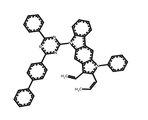 C=Cc1c(/C=C\C)n(-c2ccccc2)c2cc3c4ccccc4n(-c4nc(-c5ccccc5)nc(-c5ccc(-c6ccccc6)cc5)n4)c3cc12